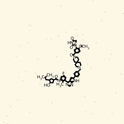 COc1ccc(C(=O)N2CCC3(CCN(Cc4ccc(-c5cc6c(-c7cc(F)cc(NC(=O)C8CC(O)C(CC(C)C)C8)c7C)ncnc6[nH]5)cc4)CC3)CC2)cc1N1CCC(=O)NC1=O